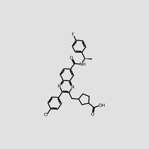 C[C@@H](NC(=O)c1ccc2nc(-c3ccc(Cl)cc3)c(CC3CCC(C(=O)O)C3)nc2c1)c1ccc(F)cc1